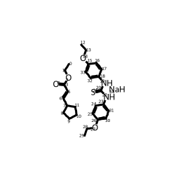 CCOC(=O)/C=C/C1CCCC1.CCOc1ccc(NC(=S)Nc2ccc(OCC)cc2)cc1.[NaH]